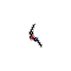 CCCCCCc1ccc(C(CC)OC(=O)c2ccc(CCCCCC)nc2)cc1